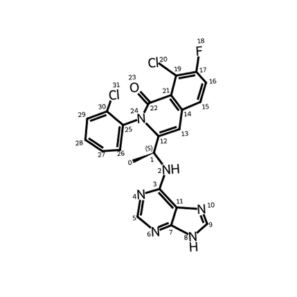 C[C@H](Nc1ncnc2[nH]cnc12)c1cc2ccc(F)c(Cl)c2c(=O)n1-c1ccccc1Cl